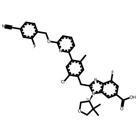 Cc1cc(Cc2nc3c(F)cc(C(=O)O)cc3n2[C@@H]2COCC2(C)C)c(Cl)cc1-c1cccc(OCc2ccc(C#N)cc2F)n1